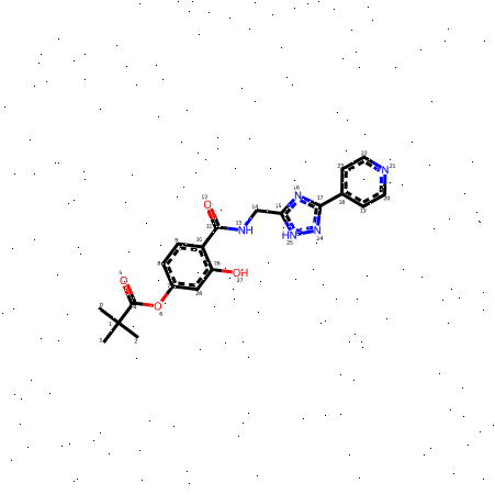 CC(C)(C)C(=O)Oc1ccc(C(=O)NCc2nc(-c3ccncc3)n[nH]2)c(O)c1